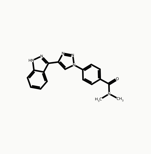 CN(C)C(=O)c1ccc(-n2cc(-c3n[nH]c4ccccc34)nn2)cc1